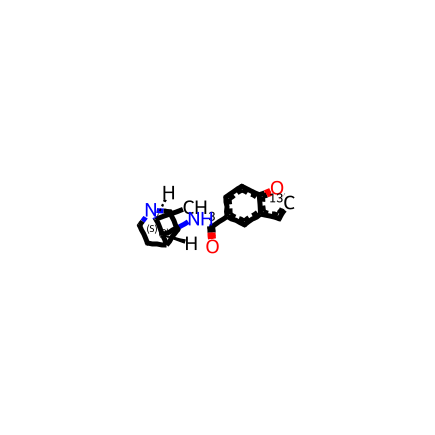 C[C@H]1[C@H](NC(=O)c2ccc3o[13cH]cc3c2)C2CCN1CC2